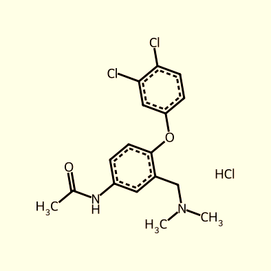 CC(=O)Nc1ccc(Oc2ccc(Cl)c(Cl)c2)c(CN(C)C)c1.Cl